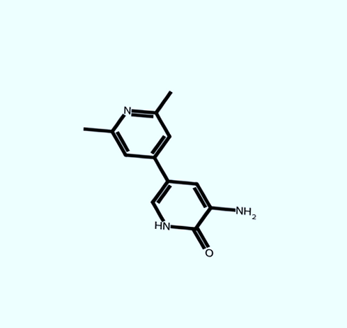 Cc1cc(-c2c[nH]c(=O)c(N)c2)cc(C)n1